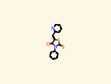 O=C1/C(=C/c2ccccn2)SC(=S)N1c1ccccc1